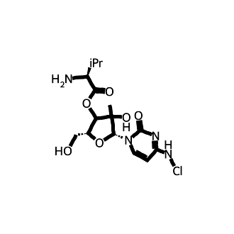 CC(C)[C@H](N)C(=O)OC1[C@@H](CO)O[C@@H](n2ccc(NCl)nc2=O)C1(C)O